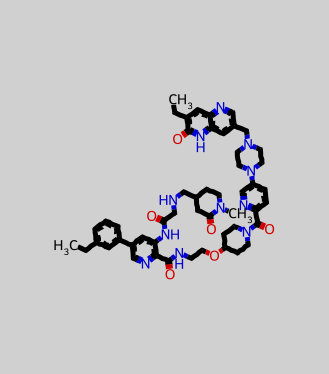 CCc1cccc(-c2cnc(C(=O)NCCOC3CCN(C(=O)c4ccc(N5CCN(Cc6cnc7cc(CC)c(=O)[nH]c7c6)CC5)cn4)CC3)c(NC(=O)CNCC3CCN(C)C(=O)C3)c2)c1